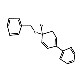 BrC1(OCc2ccccc2)C=CC(c2ccccc2)=CC1